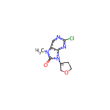 Cn1c(=O)n([C@H]2CCOC2)c2nc(Cl)ncc21